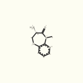 CN1C(=O)[C@@H](N)COc2cccnc21